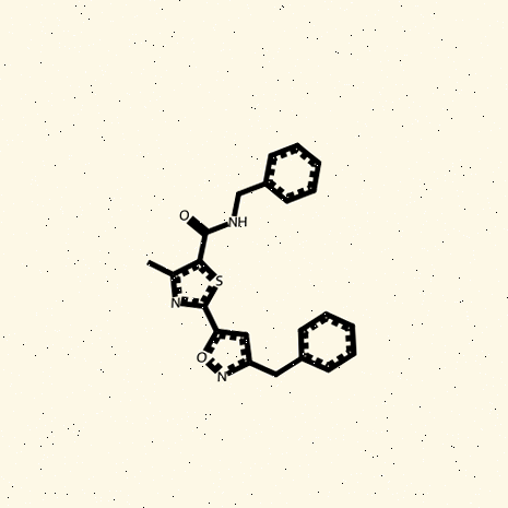 Cc1nc(-c2cc(Cc3ccccc3)no2)sc1C(=O)NCc1ccccc1